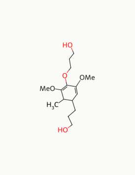 COC1=CC(CCCO)C(C)C(OC)=C1OCCCO